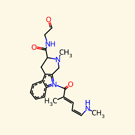 CN/C=C\C=C(/C)C(=O)n1c2c(c3ccccc31)CC(C(=O)NCC=O)N(C)C2